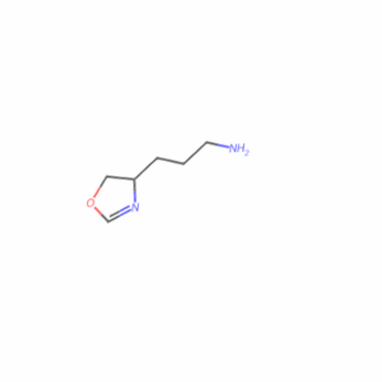 NCCCC1COC=N1